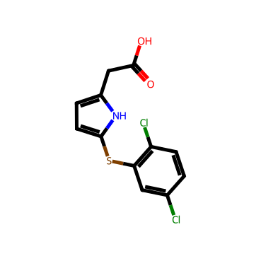 O=C(O)Cc1ccc(Sc2cc(Cl)ccc2Cl)[nH]1